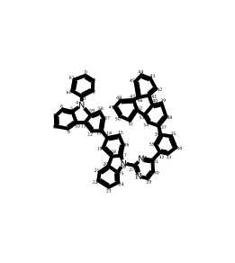 c1ccc(-n2c3ccccc3c3cc(-c4ccc5c(c4)c4ccccc4n5-c4nccc(-c5cccc(-c6ccc7c8ccccc8c8ccccc8c7c6)c5)n4)ccc32)cc1